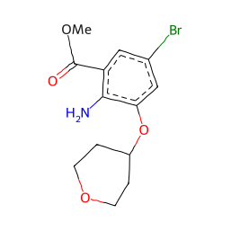 COC(=O)c1cc(Br)cc(OC2CCOCC2)c1N